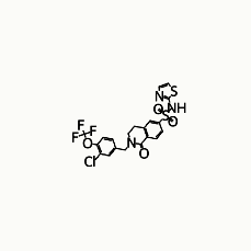 O=C1c2ccc(S(=O)(=O)Nc3nccs3)cc2CCN1Cc1ccc(OC(F)(F)F)c(Cl)c1